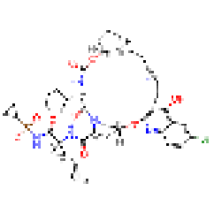 C=C[C@@H]1C[C@]1(NC(=O)[C@@H]1C[C@@H]2CN1C(=O)[C@H](C1CCCC1)NC(=O)O[C@@H]1CCC[C@H]1CC/C=C/Cc1c(nc3ccc(Br)cc3c1O)O2)C(=O)NS(=O)(=O)C1CC1